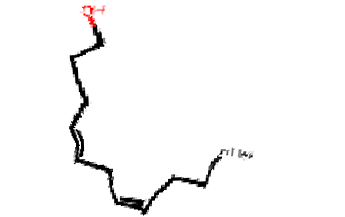 CCCCCCCC/C=C\C/C=C\CCCO